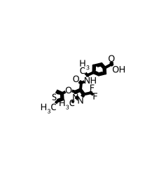 Cc1cc(Oc2c(C(=O)NC(C)c3ccc(C(=O)O)cc3)c(C(F)F)nn2C)cs1